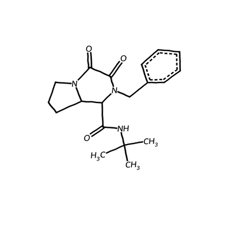 CC(C)(C)NC(=O)C1C2CCCN2C(=O)C(=O)N1Cc1ccccc1